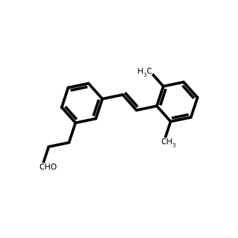 Cc1cccc(C)c1C=Cc1cccc(CCC=O)c1